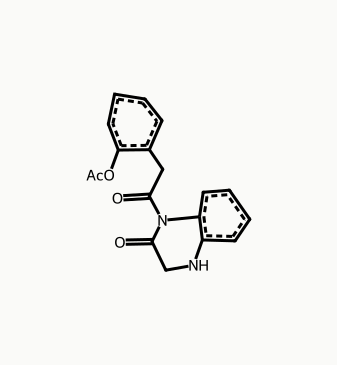 CC(=O)Oc1ccccc1CC(=O)N1C(=O)CNc2ccccc21